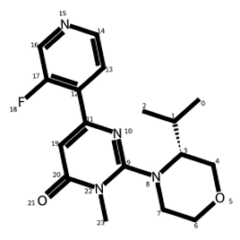 CC(C)[C@@H]1COCCN1c1nc(-c2ccncc2F)cc(=O)n1C